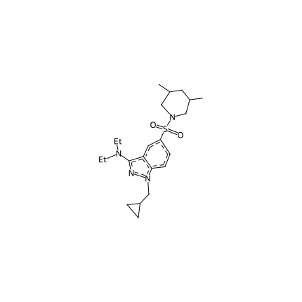 CCN(CC)c1nn(CC2CC2)c2ccc(S(=O)(=O)N3CC(C)CC(C)C3)cc12